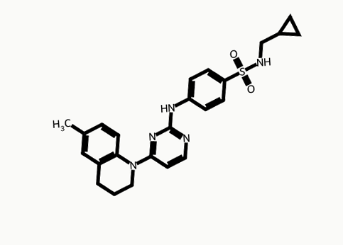 Cc1ccc2c(c1)CCCN2c1ccnc(Nc2ccc(S(=O)(=O)NCC3CC3)cc2)n1